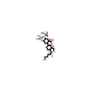 CC[Si](CC)(CC)O[C@@H]1C[C@]2(C)C3=C(OC(=O)[C@H]2C[C@H]1O[Si](C)(C)C(C)(C)C)[C@@H]1CC[C@H]([C@H](C)CCCC(C)C)[C@@]1(C)CC3